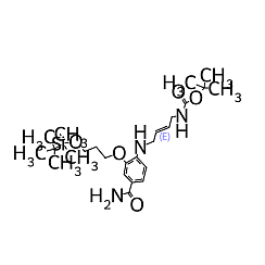 CC(C)(C)OC(=O)NC/C=C/CNc1ccc(C(N)=O)cc1OCCCO[Si](C)(C)C(C)(C)C